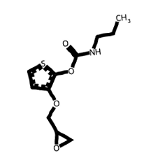 CCCNC(=O)Oc1sccc1OCC1CO1